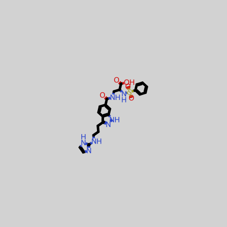 O=C(NCC(NS(=O)(=O)c1ccccc1)C(=O)O)c1ccc2c(CCCNc3ncc[nH]3)n[nH]c2c1